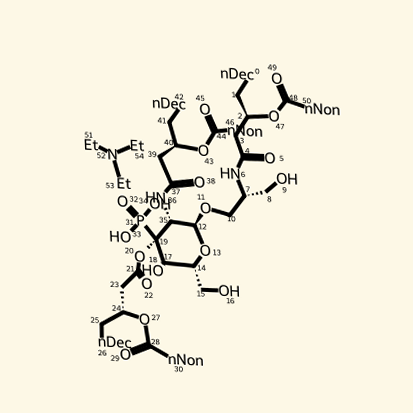 CCCCCCCCCCC[C@H](CC(=O)N[C@H](CO)CO[C@H]1O[C@H](CO)[C@@H](O)[C@@](OC(=O)C[C@@H](CCCCCCCCCCC)OC(=O)CCCCCCCCC)(P(=O)(O)O)[C@@H]1NC(=O)C[C@@H](CCCCCCCCCCC)OC(=O)CCCCCCCCC)OC(=O)CCCCCCCCC.CCN(CC)CC